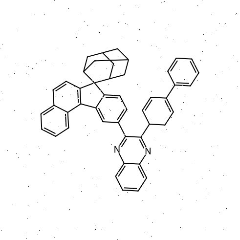 C1=CC(c2nc3ccccc3nc2-c2ccc3c(c2)-c2c(ccc4ccccc24)C32C3CC4CC(C3)CC2C4)CC=C1c1ccccc1